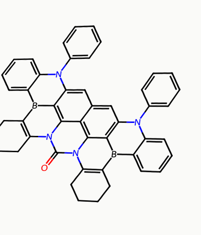 O=C1N2C3=C(CCCC3)B3c4ccccc4N(c4ccccc4)c4cc5cc6c7c(c5c2c43)N1C1=C(CCCC1)B7c1ccccc1N6c1ccccc1